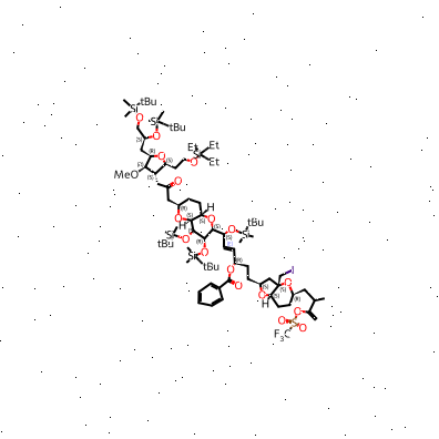 C=C(OS(=O)(=O)C(F)(F)F)C(C)C[C@H]1CC[C@@H]2O[C@@H](CC[C@H](/C=C/[C@H](O[Si](C)(C)C(C)(C)C)[C@@H]3O[C@H]4CC[C@H](CC(=O)C[C@@H]5[C@@H](OC)[C@@H](C[C@@H](CO[Si](C)(C)C(C)(C)C)O[Si](C)(C)C(C)(C)C)O[C@H]5CCO[Si](CC)(CC)CC)O[C@@H]4[C@H](O[Si](C)(C)C(C)(C)C)[C@@H]3O[Si](C)(C)C(C)(C)C)OC(=O)c3ccccc3)C[C@]2(CI)O1